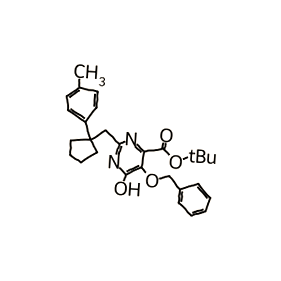 Cc1ccc(C2(Cc3nc(O)c(OCc4ccccc4)c(C(=O)OC(C)(C)C)n3)CCCC2)cc1